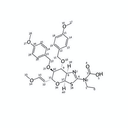 CCN(C(=O)O)C1=N[C@@H]2[C@@H](OCc3ccc(OC)cc3)[C@H](OCc3ccc(OC)cc3)[C@@H](C=COC)O[C@@H]2S1